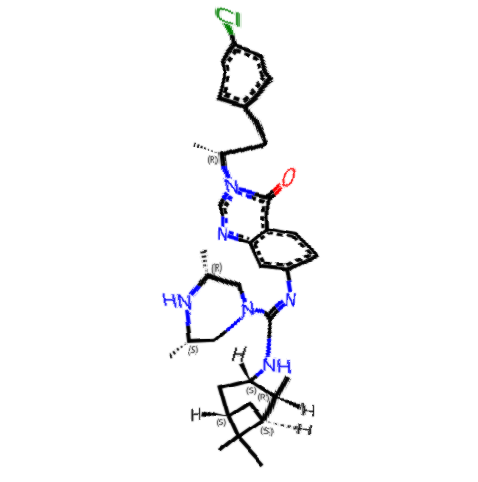 C[C@H]1[C@@H](NC(=Nc2ccc3c(=O)n([C@H](C)Cc4ccc(Cl)cc4)cnc3c2)N2C[C@@H](C)N[C@@H](C)C2)C[C@@H]2C[C@@H]1C2(C)C